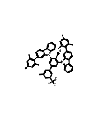 Cc1cc(-c2cc(-n3c4ccccc4c4ccc(-c5c(C)cc(C)cc5C)cc43)c(C#N)c(-n3c4ccccc4c4ccc(-c5c(C)cc(C)cc5C)cc43)c2)cc(C(F)(F)F)c1